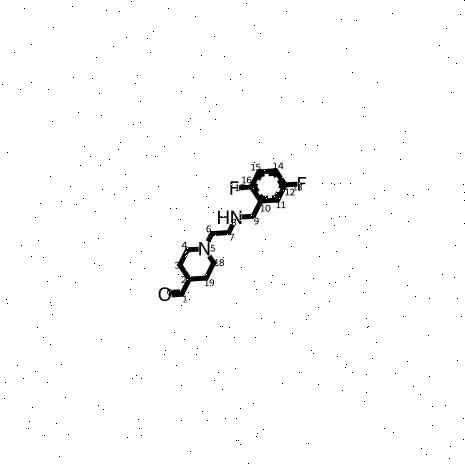 O=CC1CCN(CCNCc2cc(F)ccc2F)CC1